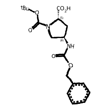 CC(C)(C)OC(=O)N1C[C@H](NC(=O)OCc2ccccc2)C[C@H]1C(=O)O